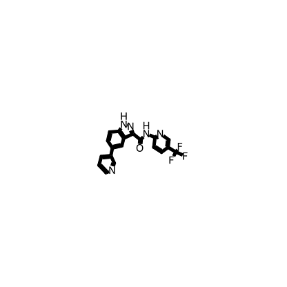 O=C(Nc1ccc(C(F)(F)F)cn1)c1n[nH]c2ccc(-c3cccnc3)cc12